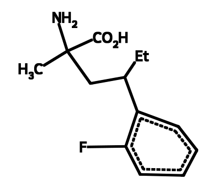 CCC(CC(C)(N)C(=O)O)c1ccccc1F